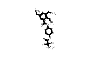 BCc1cc(CB)c(CB)c(C(=O)OC2CCC(OC(=O)C(F)(F)S(=O)(=O)O)CC2)c1